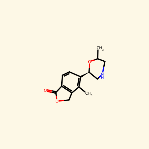 Cc1c([C@@H]2CNCC(C)O2)ccc2c1COC2=O